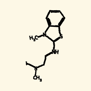 CN(I)CCNC1Sc2ccccc2N1C